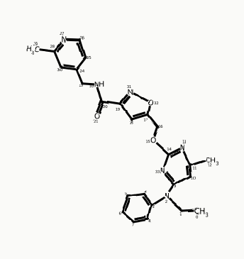 CCN(c1ccccc1)c1cc(C)nc(OCc2cc(C(=O)NCc3ccnc(C)c3)no2)n1